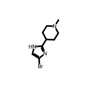 CN1CCC(c2nc(Br)c[nH]2)CC1